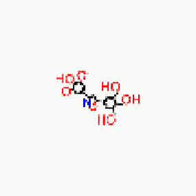 COc1cc(-c2cc(-c3cc(CO)c(CO)c(CO)c3)on2)cc(OC)c1O